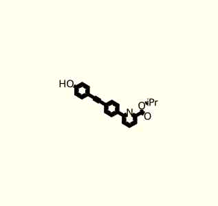 CC(C)OC(=O)c1cccc(-c2ccc(C#Cc3ccc(O)cc3)cc2)n1